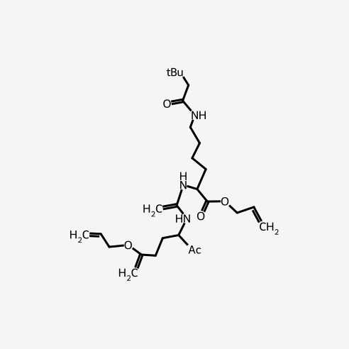 C=CCOC(=C)CCC(NC(=C)NC(CCCCNC(=O)CC(C)(C)C)C(=O)OCC=C)C(C)=O